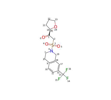 O=C(CS(=O)(=O)N1CCc2ccc(C(F)(F)F)cc2C1)[C@H]1CCCO1